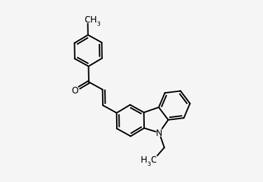 CCn1c2ccccc2c2cc(C=CC(=O)c3ccc(C)cc3)ccc21